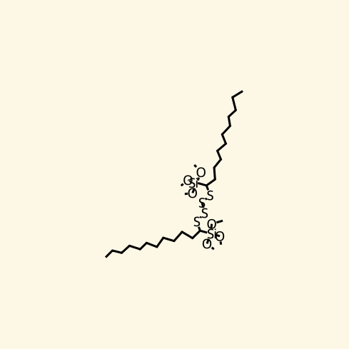 CCCCCCCCCCCC(SSSSC(CCCCCCCCCCC)[Si](OC)(OC)OC)[Si](OC)(OC)OC